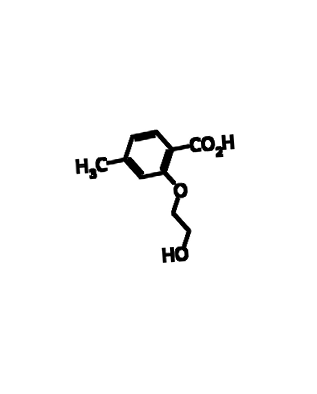 Cc1ccc(C(=O)O)c(OCCO)c1